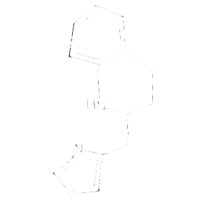 [c]1ccc2c(c1)NC(Cc1cscn1)CC2